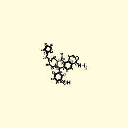 CCc1c(C(N)=O)ccc(C(c2cccc(O)c2)N2CCN(Cc3cccs3)CC2)c1CC